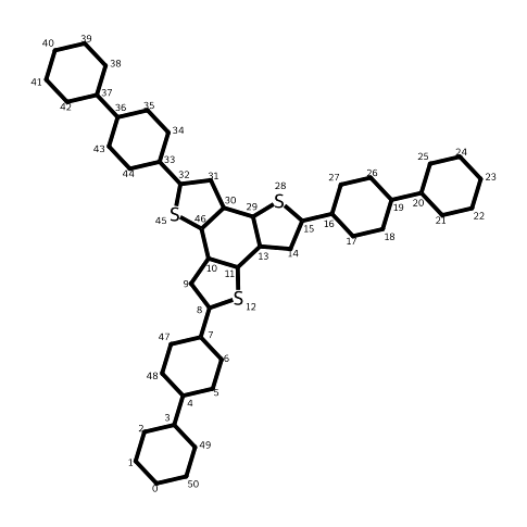 C1CCC(C2CCC(C3CC4C(S3)C3CC(C5CCC(C6CCCCC6)CC5)SC3C3CC(C5CCC(C6CCCCC6)CC5)SC43)CC2)CC1